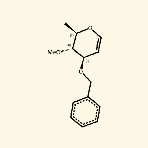 CO[C@@H]1[C@@H](C)OC=C[C@H]1OCc1ccccc1